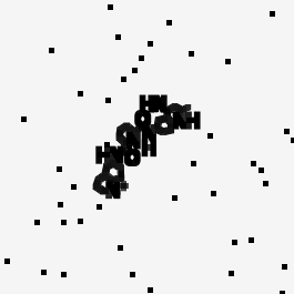 Cc1cc(=N)c2cc(NC(=O)c3cccc(C(=O)Nc4ccc5c(ccc[n+]5C)c4)n3)ccc2[nH]1